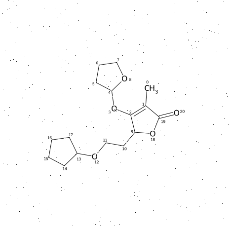 CC1=C(OC2CCCO2)C(CCOC2CCCC2)OC1=O